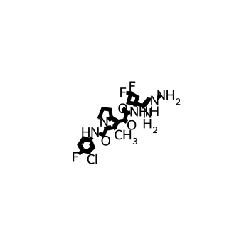 Cc1c(C(=O)C(=O)NC2(/C(N)=C/NN)CC(F)(F)C2)c2n(c1C(=O)Nc1ccc(F)c(Cl)c1)CCC2